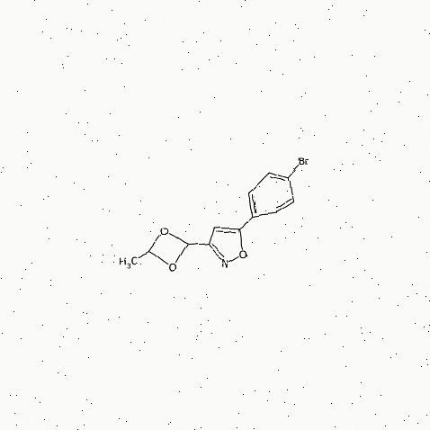 CC1OC(c2cc(-c3ccc(Br)cc3)on2)O1